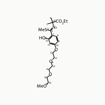 CCOC(=O)C(C)(C)/N=C(\SC)c1ccc(OCCOCCOCCOC)cc1O